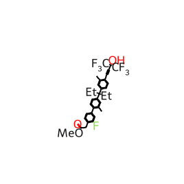 CCC(CC)(c1ccc(C#CC(O)(C(F)(F)F)C(F)(F)F)c(C)c1)c1ccc(-c2ccc(CC(=O)OC)c(F)c2)c(C)c1